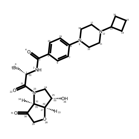 CC(C)(C)[C@H](NC(=O)c1ccc(N2CCN(C3CCC3)CC2)cc1)C(=O)N1C[C@H](O)[C@H]2OCC(=O)[C@H]21